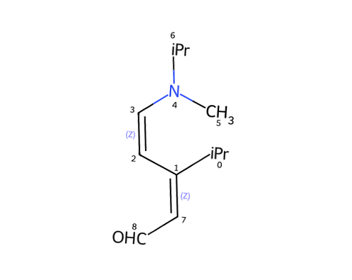 CC(C)C(/C=C\N(C)C(C)C)=C/C=O